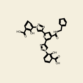 O=C(NCc1ccccc1)c1cc(-c2cn(-c3cccc(C(=O)O)c3O)nn2)nc(-c2cn(-c3cccc(C(=O)O)c3O)nn2)c1